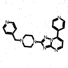 c1cc(CN2CCN(c3nc4nccc(-c5ccncc5)n4n3)CC2)ccn1